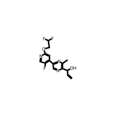 C=CC(O)c1ncc(-c2cc(OCC(F)F)ncc2F)nc1C